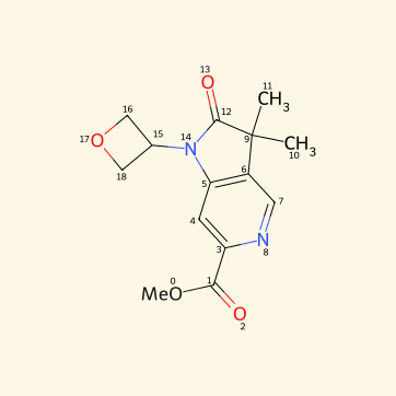 COC(=O)c1cc2c(cn1)C(C)(C)C(=O)N2C1COC1